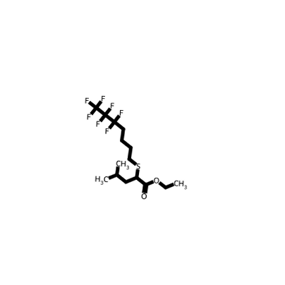 CCOC(=O)C(CC(C)C)SCCCCC(F)(F)C(F)(F)C(F)(F)F